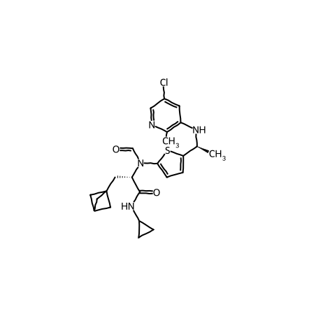 Cc1ncc(Cl)cc1N[C@@H](C)c1ccc(N(C=O)[C@@H](CC23CC(C2)C3)C(=O)NC2CC2)s1